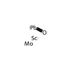 [Mo].[O]=[Pb].[Sc]